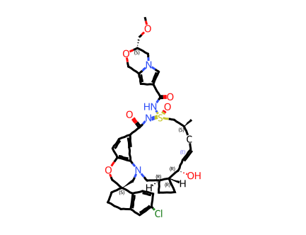 COC[C@@H]1Cn2cc(C(=O)NS3(=O)=NC(=O)c4ccc5c(c4)N(C[C@@H]4CC[C@H]4[C@@H](O)/C=C/C[C@H](C)C3)C[C@@]3(CCCc4cc(Cl)ccc43)CO5)cc2CO1